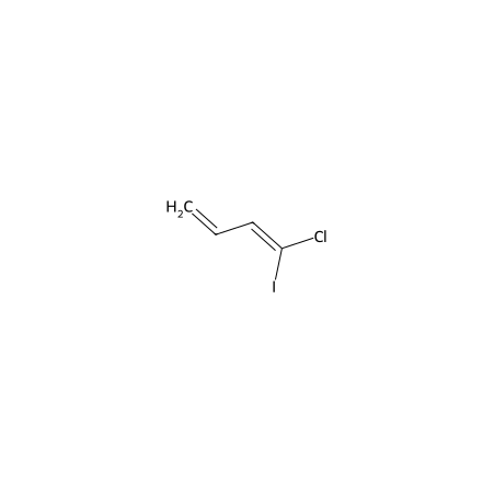 C=C/C=C(/Cl)I